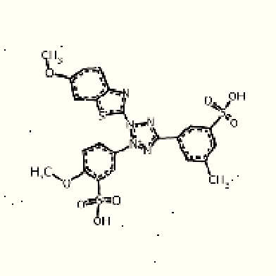 COc1ccc2nc(-n3nc(-c4cc(C)cc(S(=O)(=O)O)c4)n[n+]3-c3ccc(OC)c(S(=O)(=O)O)c3)sc2c1